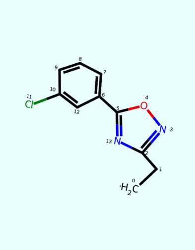 [CH2]Cc1noc(-c2cccc(Cl)c2)n1